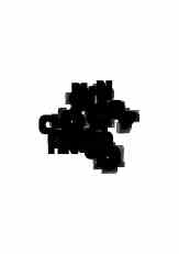 Cn1ncc(-c2cc(Cl)c3c(=O)[nH]nc(CN4Oc5ccccc5O4)c3c2)c1-c1cc(Cl)cc(OC2CC2)c1C#N